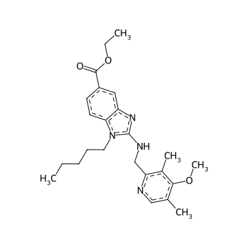 CCCCCn1c(NCc2ncc(C)c(OC)c2C)nc2cc(C(=O)OCC)ccc21